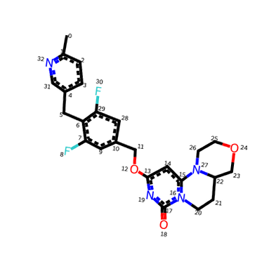 Cc1ccc(Cc2c(F)cc(COc3cc4n(c(=O)n3)CCC3COCCN43)cc2F)cn1